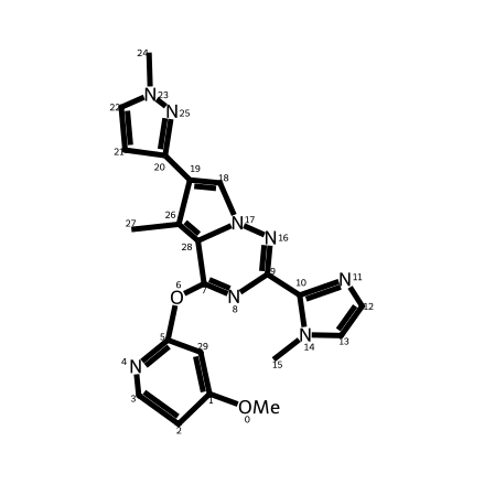 COc1ccnc(Oc2nc(-c3nccn3C)nn3cc(-c4ccn(C)n4)c(C)c23)c1